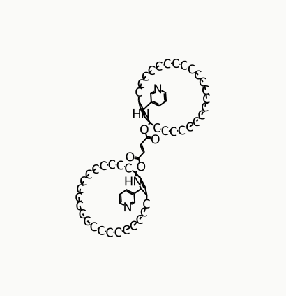 O=C(/C=C/C(=O)OC12C=CC(CCCCCCCCCCCCCCCCCCCCC1)C(c1cccnc1)N2)OC12C=CC(CCCCCCCCCCCCCCCCCCCCC1)C(c1cccnc1)N2